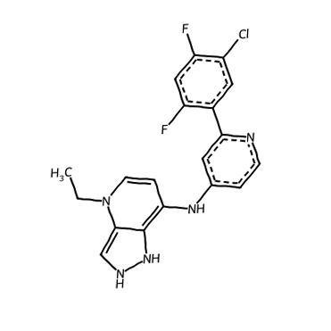 CCN1C=CC(Nc2ccnc(-c3cc(Cl)c(F)cc3F)c2)=C2NNC=C21